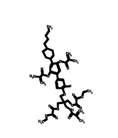 C=C(C)C(=O)NCC(COC(=O)C(=O)OCC)(COC(=O)C(=O)OCC)COc1ccc(-c2cc(OC(=O)C(=C)C)c(C3CCC(CCCCC)CC3)cc2OC(=O)C(=C)C)cc1F